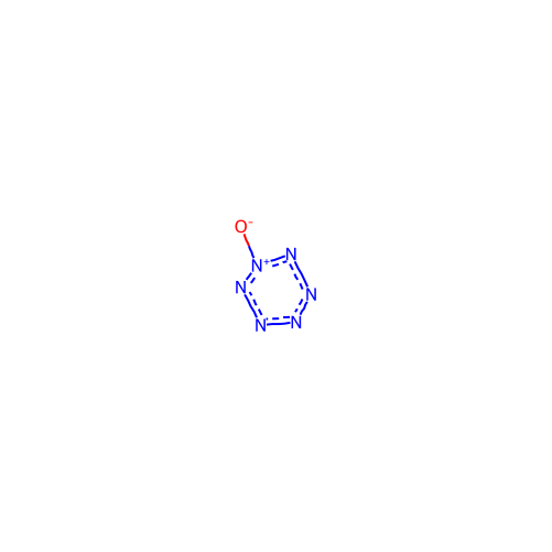 [O-][n+]1nnnnn1